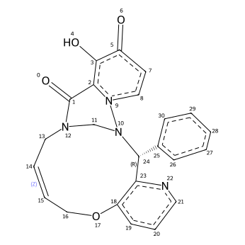 O=C1c2c(O)c(=O)ccn2N2CN1C/C=C\COc1cccnc1[C@H]2c1ccccc1